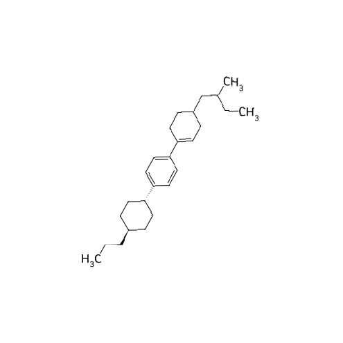 CCC[C@H]1CC[C@H](c2ccc(C3=CCC(CC(C)CC)CC3)cc2)CC1